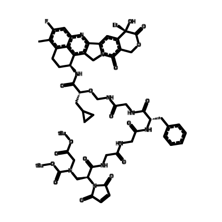 CC[C@@]1(O)C(=O)OCc2c1cc1n(c2=O)Cc2c-1nc1cc(F)c(C)c3c1c2[C@@H](NC(=O)[C@@H](CC1CC1)OCNC(=O)CNC(=O)[C@H](Cc1ccccc1)NC(=O)CNC(=O)CNC(=O)[C@H](CN(CC(=O)OC(C)(C)C)C(=O)OC(C)(C)C)N1C(=O)C=CC1=O)CC3